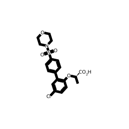 C[C@H](Oc1ccc(Cl)cc1-c1ccc(S(=O)(=O)N2CCOCC2)cc1)C(=O)O